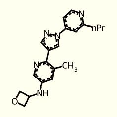 CCCc1cc(-n2cc(-c3ncc(NC4COC4)cc3C)cn2)ccn1